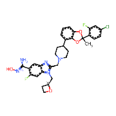 CC1(c2ccc(Cl)cc2F)Oc2cccc(C3CCN(Cc4nc5cc(/C(N)=N/O)c(F)cc5n4C[C@@H]4CCO4)CC3)c2O1